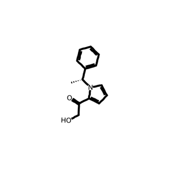 C[C@H](c1ccccc1)n1cccc1C(=O)CO